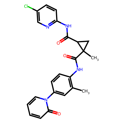 Cc1cc(-n2ccccc2=O)ccc1NC(=O)C1(C)CC1C(=O)Nc1ccc(Cl)cn1